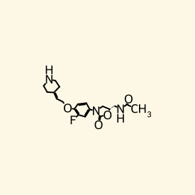 CC(=O)NC[C@H]1CN(c2ccc(OCC=C3CCNCC3)c(F)c2)C(=O)O1